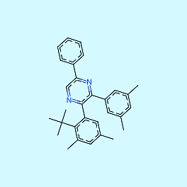 Cc1cc(C)cc(-c2nc(-c3ccccc3)cnc2-c2cc(C)cc(C)c2C(C)(C)C)c1